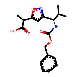 CC(C(=O)O)c1cc([C@@H](NC(=O)OCc2ccccc2)C(C)C)no1